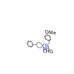 COc1ccc(CN(C)CC2(NC=O)CCC(c3ccccc3)CC2)cc1